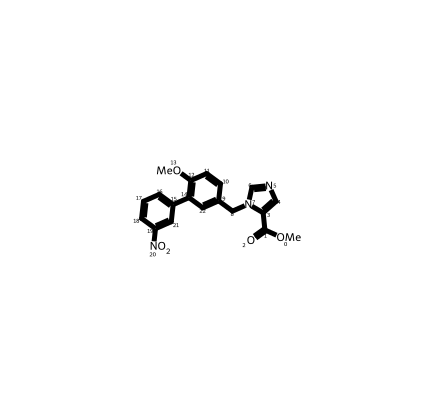 COC(=O)c1cncn1Cc1ccc(OC)c(-c2cccc([N+](=O)[O-])c2)c1